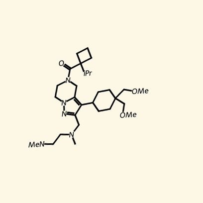 CNCCN(C)Cc1nn2c(c1C1CCC(COC)(COC)CC1)CN(C(=O)C1(C(C)C)CCC1)CC2